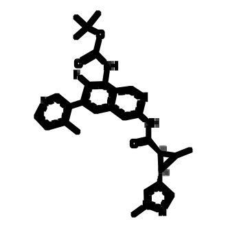 Cc1ccncc1-c1cc2cc(NC(=O)[C@H]3C(C)[C@@H]3c3cnn(C)c3)ncc2c(NC(=O)OC(C)(C)C)c1F